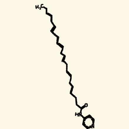 CCC=CCC=CCC=CCC=CCC=CCC=CCCC(=O)Nc1ccncc1